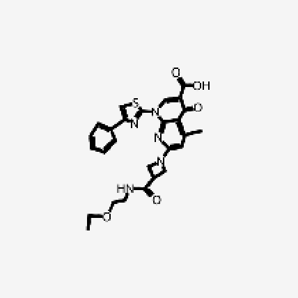 CCOCCNC(=O)C1CN(c2cc(C)c3c(=O)c(C(=O)O)cn(-c4nc(-c5ccccc5)cs4)c3n2)C1